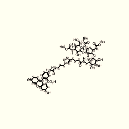 CC(C)(C)OC(=O)NC1C(O)[C@H](OC2[C@@H](O)[C@H](O[C@H]3OC(CNC(=O)CCCc4cn(CCCNC(=S)Nc5ccc(-c6c7ccc(=O)cc-7oc7cc(O)ccc67)c(C(=O)O)c5)nn4)[C@@H](O)[C@H](O)C3O)C(NC(=O)OC(C)(C)C)C[C@H]2NC(=O)OC(C)(C)C)OC(CO)[C@@H]1O